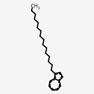 CCCCCCCCCCCCCCCCc1ccc2cccccc1-2